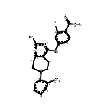 COC(=O)c1ccc(Nc2nc(C(C)C)nc3c2CCN(c2ncccc2C(F)(F)F)CC3)cc1F